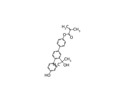 C=C(C)C(=O)Oc1ccc(-c2ccc(-c3ccc(O)cc3)c(C(C)(C)O)c2)cc1